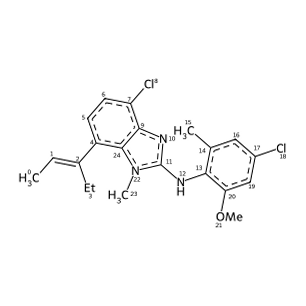 C/C=C(\CC)c1ccc(Cl)c2nc(Nc3c(C)cc(Cl)cc3OC)n(C)c12